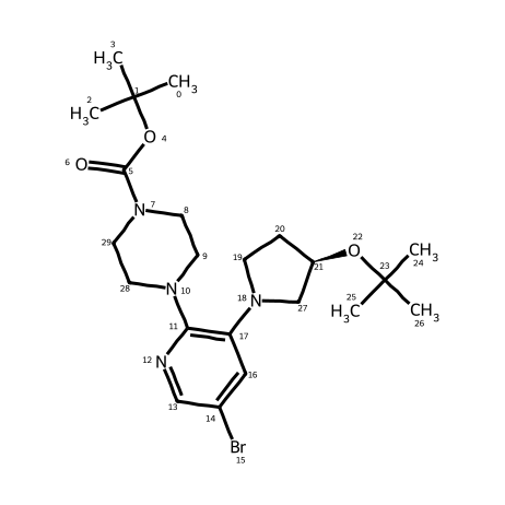 CC(C)(C)OC(=O)N1CCN(c2ncc(Br)cc2N2CC[C@@H](OC(C)(C)C)C2)CC1